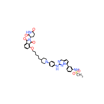 CS(=O)(=O)Nc1cccc(-c2ccc3cnc(Nc4ccc(N5CCC(CCCCCOc6cccc7c6C(=O)N(C6CCC(=O)NC6=O)C7=O)CC5)cc4)nn23)c1